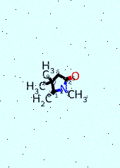 C=C1N(C)C(=O)CC1(C)C